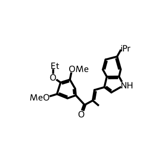 CCOc1c(OC)cc(C(=O)/C(C)=C/c2c[nH]c3cc(C(C)C)ccc23)cc1OC